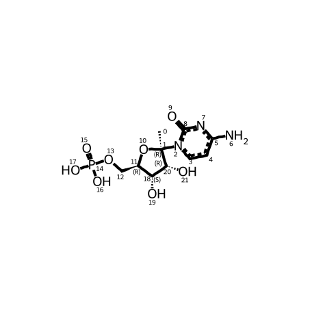 C[C@@]1(n2ccc(N)nc2=O)O[C@H](COP(=O)(O)O)[C@@H](O)[C@H]1O